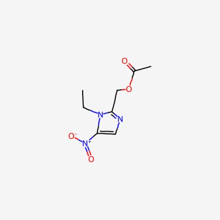 CCn1c([N+](=O)[O-])cnc1COC(C)=O